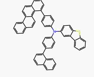 c1ccc2c(-c3ccc(N(c4ccc(-c5cccc6ccc7c8ccccc8ccc7c56)cc4)c4ccc5sc6ccccc6c5c4)cc3)cccc2c1